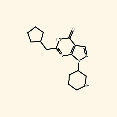 O=c1[nH]c(CC2CCCC2)nc2c1cnn2C1CCCNC1